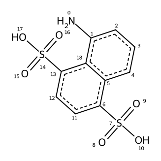 Nc1cccc2c(S(=O)(=O)O)ccc(S(=O)(=O)O)c12